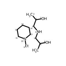 CC(O)CNCC(C)O.CCN1CCCCC1